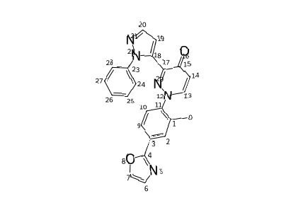 Cc1cc(-c2ncco2)ccc1-n1ccc(=O)c(-c2ccnn2-c2ccccc2)n1